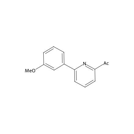 COc1cccc(-c2cccc(C(C)=O)n2)c1